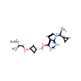 CC(=O)N[C@@H](C)CO[C@H]1C[C@H](COc2ncnc3c2ccn3C(C)C2CC2)C1